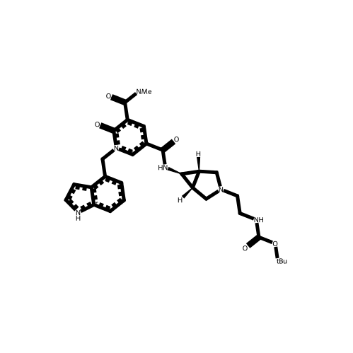 CNC(=O)c1cc(C(=O)N[C@H]2[C@@H]3CN(CCNC(=O)OC(C)(C)C)C[C@@H]32)cn(Cc2cccc3[nH]ccc23)c1=O